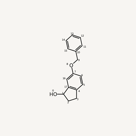 OC1CCc2ccc(OCc3ccccc3)cc21